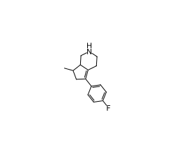 CC1CC(c2ccc(F)cc2)=C2CCNCC21